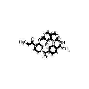 C=CC(=O)N1CCN([C@H](CC)c2ccc([C@H](C)Nc3ncc4cnc(=O)n(CC)c4n3)cc2)CC1